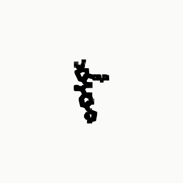 CCOC(=O)C1=C(NC(=O)c2ccc(-n3ccnc3)nn2)CCC(F)(F)C1